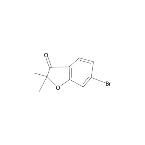 CC1(C)Oc2cc(Br)ccc2C1=O